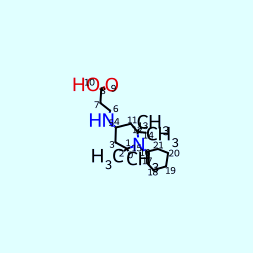 CC1(C)CC(NCCC(=O)O)CC(C)(C)N1C1CCCCC1